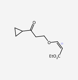 CCOC(=O)/C=C\OCCC(=O)C1CC1